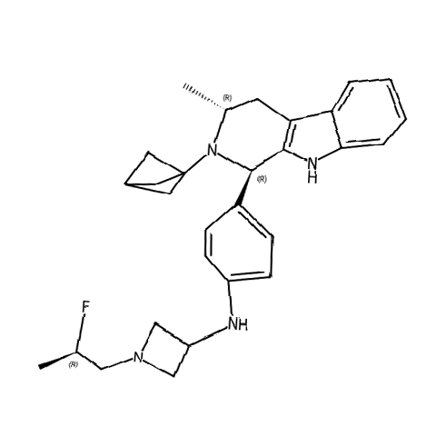 C[C@@H]1Cc2c([nH]c3ccccc23)[C@@H](c2ccc(NC3CN(C[C@@H](C)F)C3)cc2)N1C12CC(C1)C2